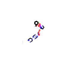 Cc1cccc(Cl)c1S(=O)(=O)N1CCC[C@H]1COCC(=O)N1CCN(C2CCN(C)CC2)CC1